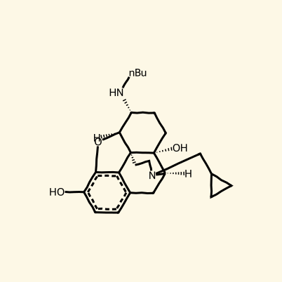 CCCCN[C@@H]1CC[C@@]2(O)[C@H]3Cc4ccc(O)c5c4[C@@]2(CCN3CC2CC2)[C@H]1O5